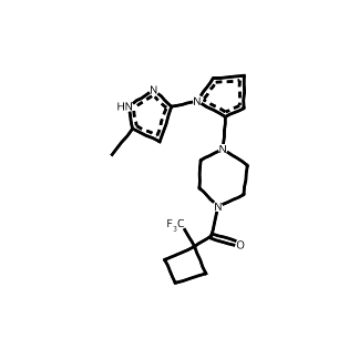 Cc1cc(-n2cccc2N2CCN(C(=O)C3(C(F)(F)F)CCC3)CC2)n[nH]1